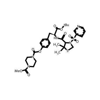 COC(=O)N1CCN(C(=O)Oc2ccc(C[C@H](NC(=O)C3N(S(=O)(=O)c4cccnc4)CSC3(C)C)C(=O)OC(C)(C)C)cc2)CC1